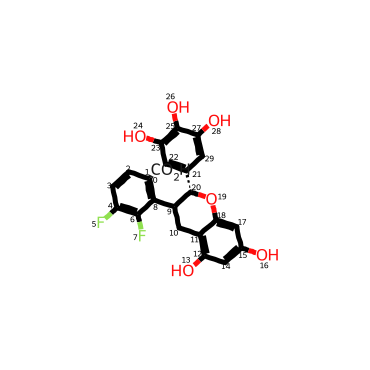 O=C(O)c1ccc(F)c(F)c1C1Cc2c(O)cc(O)cc2O[C@H]1c1cc(O)c(O)c(O)c1